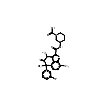 Nc1ccc2c3c(c(C(=O)NC4CCCN(C(=O)O)C4)sc13)C(N)C(=O)C2(N)c1cccc(Br)c1